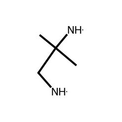 CC(C)([NH])C[NH]